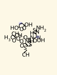 C#CCSC1=C(C(=O)OCOC(=O)C(C)(C)C)N2C(=O)[C@@H](NC(=O)/C(=N\O)c3csc(N)n3)[C@H]2SC1.O=C(O)/C=C\C(=O)O